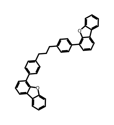 c1ccc2c(c1)oc1c(-c3ccc(CCCc4ccc(-c5cccc6c5oc5ccccc56)cc4)cc3)cccc12